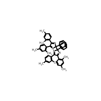 Cc1ccc(C2=NC(c3ccccc3)(C3(c4ccccc4)N=C(c4ccc(C)cc4C)C(c4ccc(C)cc4C)=N3)N=C2c2ccc(C)cc2C)c(C)c1